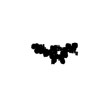 CC1(C)c2ccccc2-c2c(-c3cc(-c4ccc(-c5ccc(-c6cccc7c6C(C)(C)c6ccc8ccccc8c6-7)cc5)c5ccccc45)nc(-c4cccc(-c5ccc(-c6cc(-c7ccc(-c8ccc(-c9cccc%10c9C(C)(C)c9ccc%11ccccc%11c9-%10)cc8)c8ccccc78)nc(-c7ccccc7)n6)cc5-c5ccncc5)c4)n3)cccc21